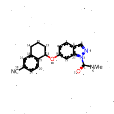 CNC(=O)n1ncc2ccc(OC3CCCc4cc(C#N)ccc43)cc21